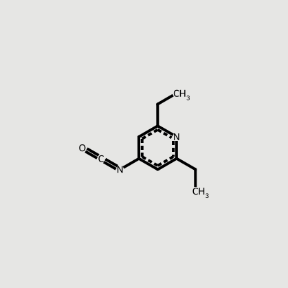 CCc1cc(N=C=O)cc(CC)n1